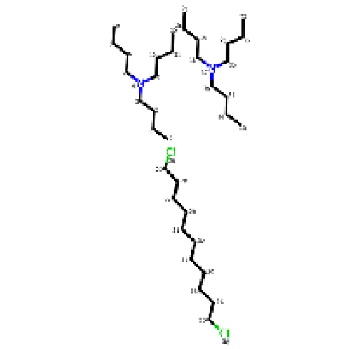 CCCCN(CCCC)CCCC.CCCCN(CCCC)CCCC.ClCCCCCCCCCCCCl